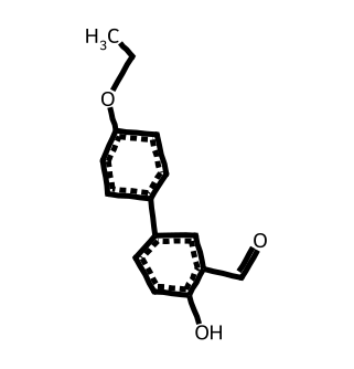 CCOc1ccc(-c2ccc(O)c(C=O)c2)cc1